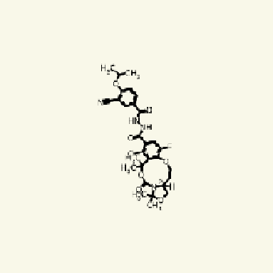 CC(C)Oc1ccc(C(=O)NNC(=O)c2cc(F)c3c(c2Cl)C(C)(C)OC(=O)N2[C@H](CCO3)COC2(C)C)cc1C#N